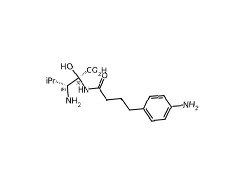 CC(C)[C@@H](N)[C@@](O)(NC(=O)CCCc1ccc(N)cc1)C(=O)O